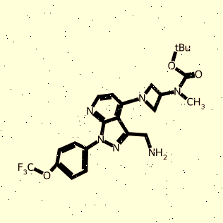 CN(C(=O)OC(C)(C)C)C1CN(c2ccnc3c2c(CN)nn3-c2ccc(OC(F)(F)F)cc2)C1